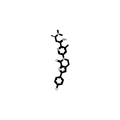 Cc1cc(N2CCc3cc(-c4ccc(Cl)cc4)sc3C2=O)cnc1C(=N)C[C@@H](C)N(C)C